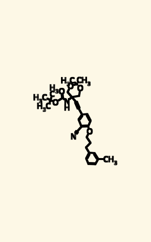 Cc1cccc(CCCOc2ccc(C#CC3(NC(=O)OC(C)(C)C)COC(C)(C)OC3)cc2C#N)c1